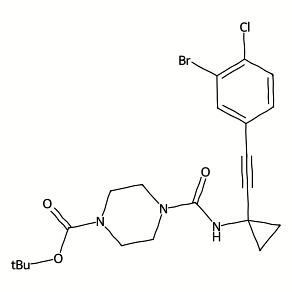 CC(C)(C)OC(=O)N1CCN(C(=O)NC2(C#Cc3ccc(Cl)c(Br)c3)CC2)CC1